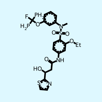 CCOc1cc(NC(=O)CC(O)c2nccs2)ccc1S(=O)(=O)N(C)c1cccc(OC(F)(P)P)c1